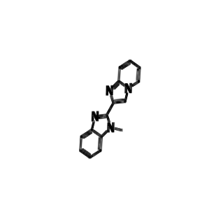 Cn1c(-c2cn3ccccc3n2)nc2ccccc21